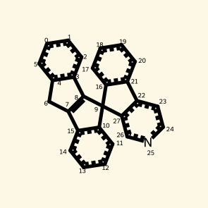 c1ccc2c(c1)CC1=C2C2(c3ccccc31)c1ccccc1-c1ccncc12